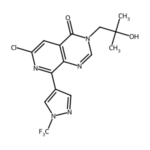 CC(C)(O)Cn1cnc2c(-c3cnn(C(F)(F)F)c3)nc(Cl)cc2c1=O